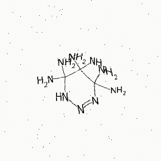 NC1(N)N=NNC(N)(N)C1(N)N